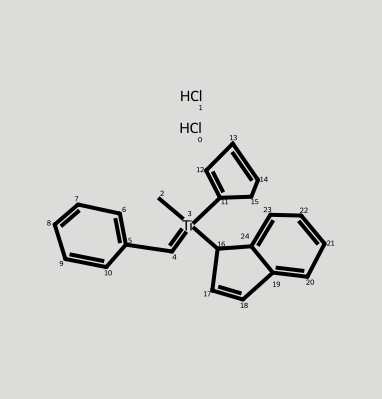 Cl.Cl.[CH3][Ti](=[CH]c1ccccc1)([C]1=CC=CC1)[CH]1C=Cc2ccccc21